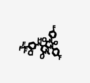 Cn1c(=O)cc(Nc2ccc(C(F)(F)F)c(Cl)c2)c2c(=O)n(-c3ccc(F)cc3)c(=O)n(-c3ccc(F)cc3)c21